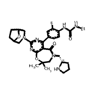 CCNC(=O)Nc1ccc(-c2nc(N3CC4CCC(C3)O4)nc3c2C(=O)N(C[C@@H]2CCCN2)CC(C)(C)O3)cc1F